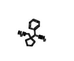 NCC1(C(N)c2ccccc2)CCCC1